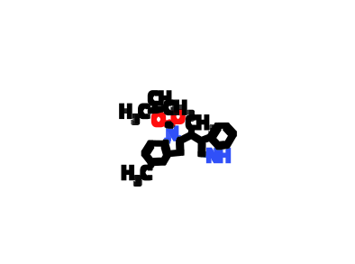 Cc1ccc2c(c1)cc(C(C)c1c[nH]c3ccccc13)n2C(=O)OC(C)(C)C